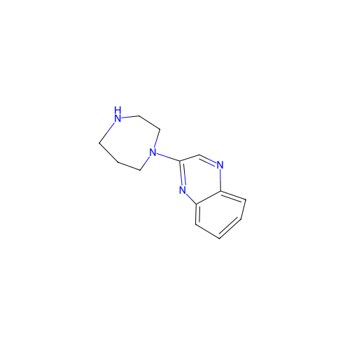 c1ccc2nc(N3CCCNCC3)cnc2c1